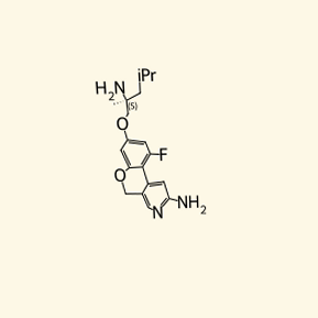 CC(C)C[C@](C)(N)COc1cc(F)c2c(c1)OCc1cnc(N)cc1-2